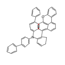 C1=CC(N(c2ccc(-c3ccccc3)cc2)c2ccc(-c3ccccc3)cc2)=C(c2ccc3c4c(cccc24)-c2ccccc2O3)CC1